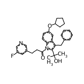 CC(C)(O)c1c(Cc2ccccc2)c2cc(OC3CCCC3)ccc2n1C(=O)CCc1cncc(F)c1